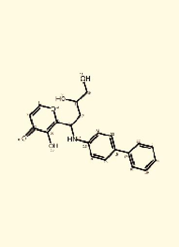 O=c1ccoc(C(CC(O)CO)Nc2ccc(-c3ccccc3)cc2)c1O